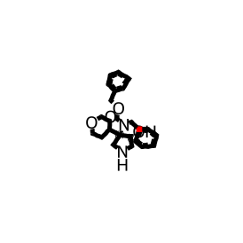 O=C(OCc1ccccc1)N(Cc1ccccc1)[C@]1(C2CCOCC2)CNC[C@H]1O